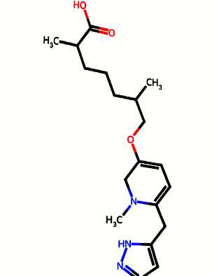 CC(CCCC(C)C(=O)O)COC1=CC=C(Cc2ccn[nH]2)N(C)C1